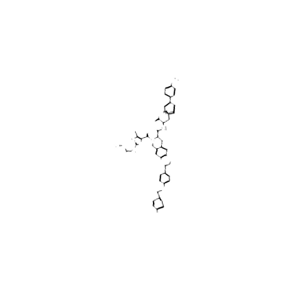 COC(=O)C(Cc1ccc(-c2ccc(C#N)cc2)cc1)NC(=O)C1Cc2cc3c(cc2CN1C(=O)c1sc(NC(=O)OC(C)(C)C)nc1C)OC(c1ccc(OCc2ccc(Cl)c(Cl)c2)cc1)CO3